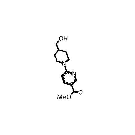 COC(=O)c1ccc(N2CCC(CO)CC2)nc1